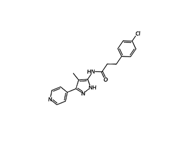 Cc1c(-c2ccncc2)n[nH]c1NC(=O)CCc1ccc(Cl)cc1